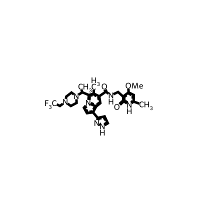 COc1cc(C)[nH]c(=O)c1CNC(=O)c1cc2c(-c3cc[nH]n3)ccn2c(C(C)N2CCN(CC(F)(F)F)CC2)c1C